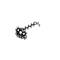 CCCCCCCCNC1c2ccccc2S(=O)(=O)N(C)c2c(O)cccc21